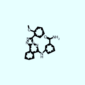 COc1ccccc1-c1nnc2c3ccccc3c(Nc3cccc(C(N)=O)c3)nn12